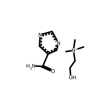 C[N+](C)(C)CCO.NC(=O)c1cncnc1